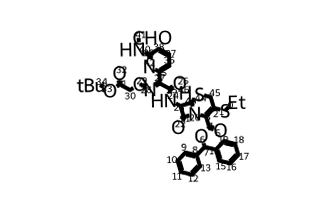 CCSC1=C(C(=O)OC(c2ccccc2)c2ccccc2)N2C(=O)C(NC(=O)C(=NOCC(=O)OC(C)(C)C)c3cccc(NC=O)n3)[C@@H]2SC1